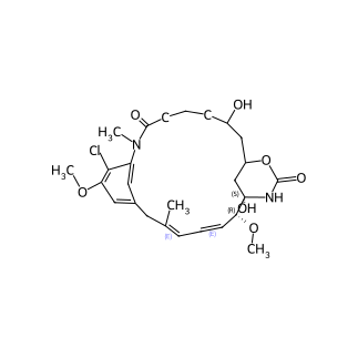 COc1cc2cc(c1Cl)N(C)C(=O)CCCC(O)CC1C[C@@](O)(NC(=O)O1)[C@H](OC)/C=C/C=C(\C)C2